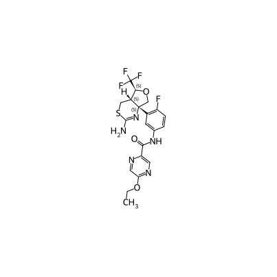 CCOc1cnc(C(=O)Nc2ccc(F)c([C@]34CO[C@H](C(F)(F)F)[C@H]3CSC(N)=N4)c2)cn1